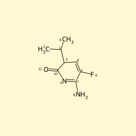 CC(C)C1C=C(F)C(N)=NC1=O